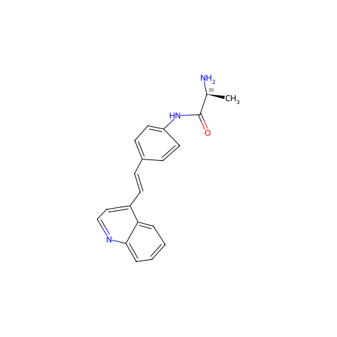 C[C@H](N)C(=O)Nc1ccc(C=Cc2ccnc3ccccc23)cc1